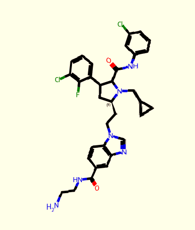 NCCNC(=O)c1ccc2c(c1)ncn2CC[C@H]1CC(c2cccc(Cl)c2F)C(C(=O)Nc2cccc(Cl)c2)N1CC1CC1